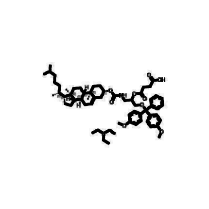 CCN(CC)CC.COc1ccc(C(OCC(CNC(=O)O[C@H]2CC[C@@]3(C)C(=CC[C@H]4[C@@H]5CC[C@H]([C@H](C)CCCC(C)C)[C@@]5(C)CC[C@@H]43)C2)OC(=O)CCC(=O)O)(c2ccccc2)c2ccc(OC)cc2)cc1